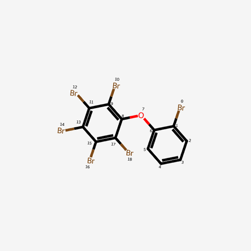 Brc1ccccc1Oc1c(Br)c(Br)c(Br)c(Br)c1Br